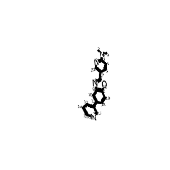 CN(C)c1ccc(-c2nc3cc(-c4cccnc4)ccc3o2)cn1